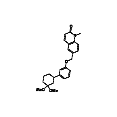 COC1(OC)CCCC(c2cccc(OCc3ccc4c(ccc(=O)n4C)c3)c2)C1